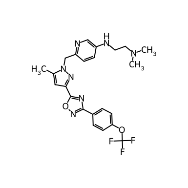 Cc1cc(-c2nc(-c3ccc(OC(F)(F)F)cc3)no2)nn1Cc1ccc(NCCN(C)C)cn1